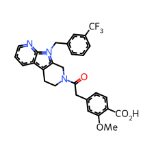 COc1cc(CC(=O)N2CCc3c(n(Cc4cccc(C(F)(F)F)c4)c4ncccc34)C2)ccc1C(=O)O